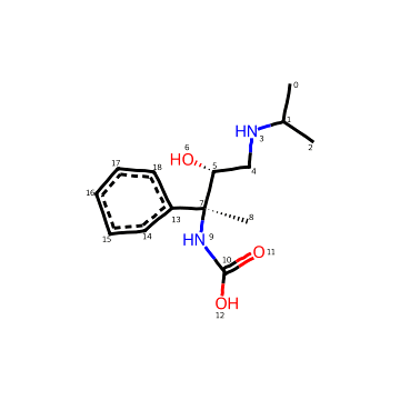 CC(C)NC[C@@H](O)[C@@](C)(NC(=O)O)c1ccccc1